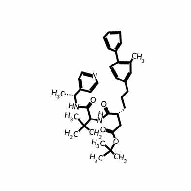 Cc1cc(CCC[C@H](CC(=O)OC(C)(C)C)C(=O)N[C@H](C(=O)N[C@H](C)c2ccncc2)C(C)(C)C)ccc1-c1ccccc1